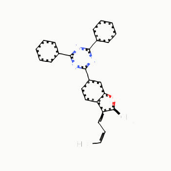 C=c1oc2cc(-c3nc(-c4ccccc4)nc(-c4ccccc4)n3)ccc2/c1=C/C=C\C